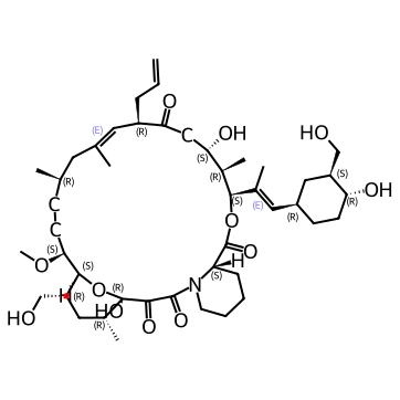 C=CC[C@@H]1/C=C(\C)C[C@H](C)CC[C@H](OC)[C@H]2O[C@@](O)(C(=O)C(=O)N3CCCC[C@H]3C(=O)O[C@H](/C(C)=C/[C@@H]3CC[C@@H](O)[C@H](CO)C3)[C@H](C)[C@@H](O)CC1=O)[C@H](C)C[C@@H]2CO